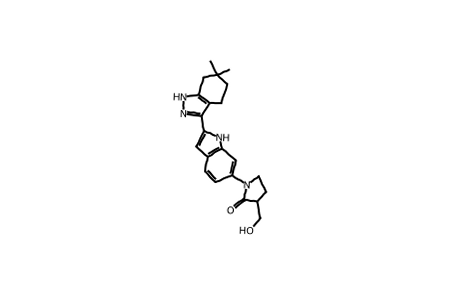 CC1(C)CCc2c(-c3cc4ccc(N5CCC(CO)C5=O)cc4[nH]3)n[nH]c2C1